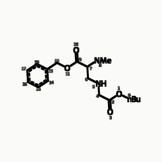 CCCCOC(=O)CNCC(NC)C(=O)OCc1ccccc1